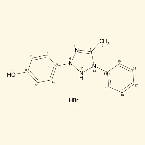 Br.CC1=NN(c2ccc(O)cc2)NN1c1ccccc1